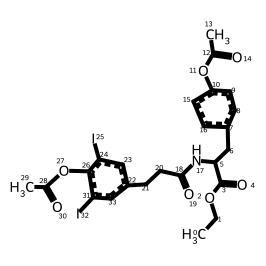 CCOC(=O)C(Cc1ccc(OC(C)=O)cc1)NC(=O)CCc1cc(I)c(OC(C)=O)c(I)c1